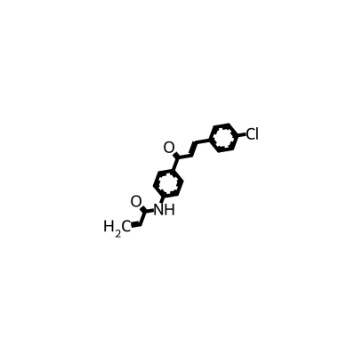 C=CC(=O)Nc1ccc(C(=O)/C=C/c2ccc(Cl)cc2)cc1